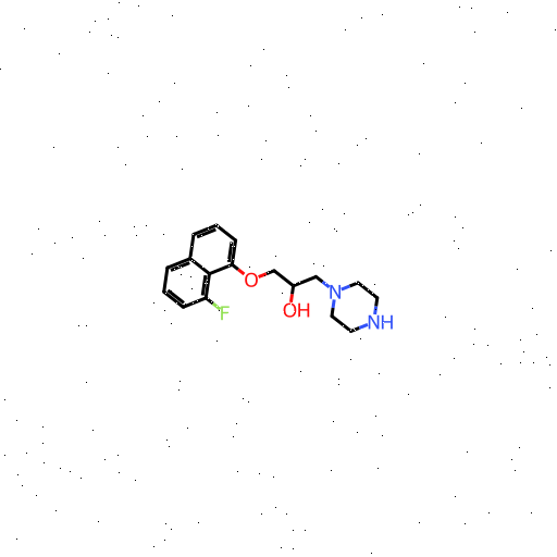 OC(COc1cccc2cccc(F)c12)CN1CCNCC1